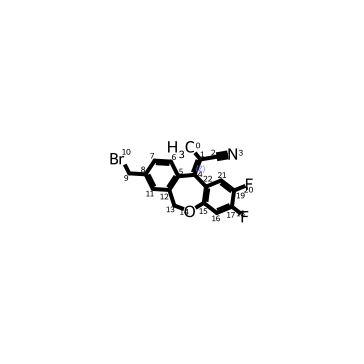 C/C(C#N)=C1\c2ccc(CBr)cc2COc2cc(F)c(F)cc21